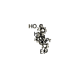 CCOc1ccc(N(C(C)C)S(=O)(=O)c2ccsc2C(=O)Nc2cccc(C(=O)O)c2)cc1